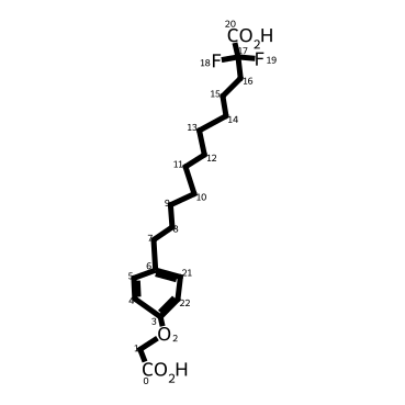 O=C(O)COc1ccc(CCCCCCCCCCC(F)(F)C(=O)O)cc1